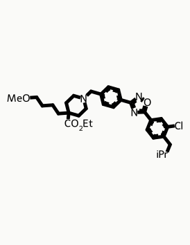 CCOC(=O)C1(CCCCOC)CCN(Cc2ccc(-c3noc(-c4ccc(CC(C)C)c(Cl)c4)n3)cc2)CC1